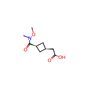 CON(C)C(=O)[C@H]1C[C@@H](CC(=O)O)C1